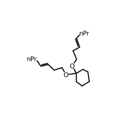 CCCC=CCCOC1(OCCC=CCCC)CCCCC1